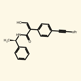 CCCC#Cc1ccc(C(=CO)C(=O)N[C@H](C)c2ccccc2)cc1